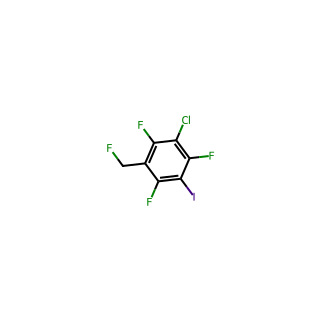 FCc1c(F)c(Cl)c(F)c(I)c1F